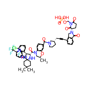 C[C@@H]1CN(C(=O)[C@@H]2NC3(CCC(C)(C)CC3)[C@@]3(CNc4cc(C(F)(F)F)ncc43)[C@H]2c2cccc(Cl)c2F)c2ccc(C(=O)N3CCC[C@@H](CC#Cc4cccc5c4CN([C@H]4CCC(=O)N(COP(=O)(O)O)C4=O)C5=O)C3)cc2O1